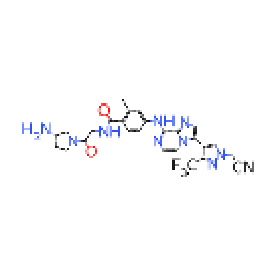 Cc1cc(Nc2nccn3c(-c4cn(CC#N)nc4C(F)(F)F)cnc23)ccc1C(=O)NCC(=O)N1CC[C@H](N)C1